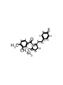 Cc1ccc(C(=O)N2[C@@H](CCc3ccc(F)cc3)CC[C@H]2C)cc1C